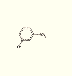 Nc1[c][n+]([O-])ccc1